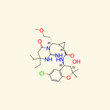 CCC1(CC)CC(=O)N([C@H](CCOC)C2C[C@H]2C(=O)N[C@@H]2c3cc(Cl)ccc3OC(C)(C)[C@H]2O)C(=N)N1